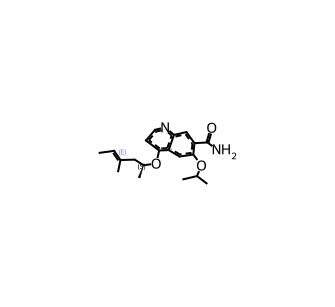 C/C=C(\C)C[C@H](C)Oc1ccnc2cc(C(N)=O)c(OC(C)C)cc12